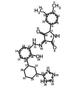 Cc1ccc(C2NC(=O)C(=NNc3cccc(C4CCCC(c5nnn[nH]5)C4)c3O)C2=O)cc1C